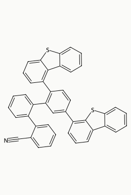 N#Cc1ccccc1-c1ccccc1-c1cc(-c2cccc3c2sc2ccccc23)ccc1-c1cccc2sc3ccccc3c12